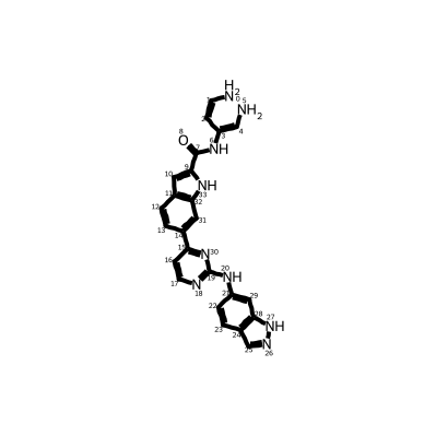 N/C=C\C(=C/N)NC(=O)c1cc2ccc(-c3ccnc(Nc4ccc5cn[nH]c5c4)n3)cc2[nH]1